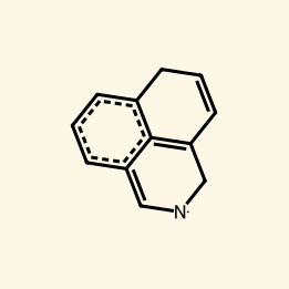 C1=CC2=c3c(cccc3=C[N]C2)C1